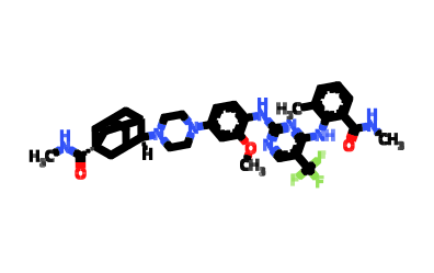 CNC(=O)c1cccc(C)c1Nc1nc(Nc2ccc(N3CCN([C@H]4C5CC6CC4C[C@](C(=O)NC)(C6)C5)CC3)cc2OC)ncc1C(F)(F)F